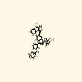 O=C(O)C(F)(F)F.O=C1Nc2ccccc2C12CC2c1ccc2c(-c3cccc(CN4CCOCC4)c3)n[nH]c2c1